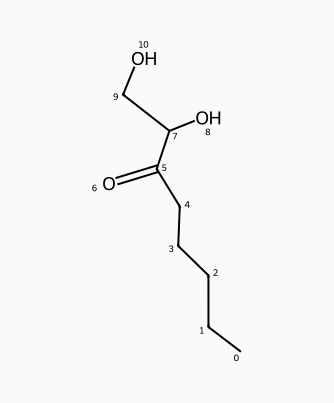 CCCCCC(=O)C(O)CO